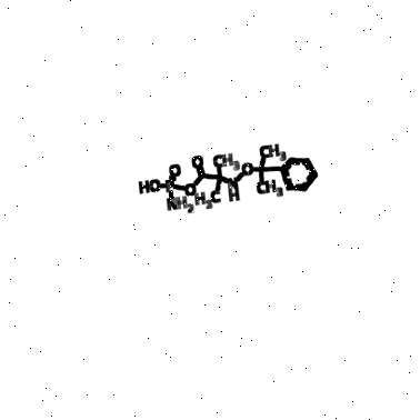 CC(C)(NOC(C)(C)c1ccccc1)C(=O)OP(N)(=O)O